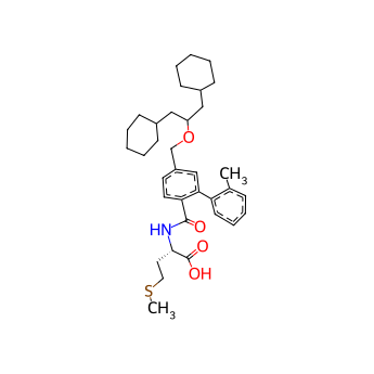 CSCC[C@H](NC(=O)c1ccc(COC(CC2CCCCC2)CC2CCCCC2)cc1-c1ccccc1C)C(=O)O